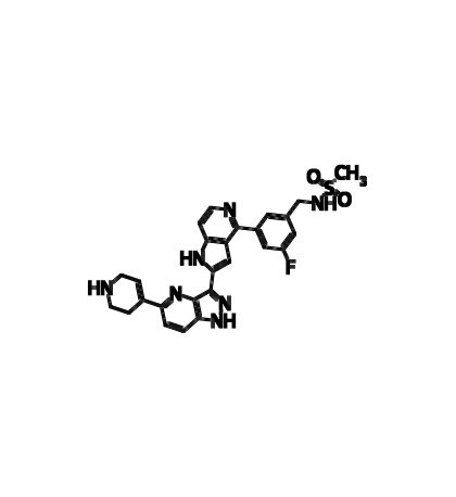 CS(=O)(=O)NCc1cc(F)cc(-c2nccc3[nH]c(-c4n[nH]c5ccc(C6=CCNCC6)nc45)cc23)c1